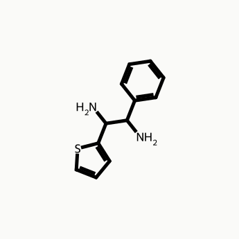 NC(c1ccccc1)C(N)c1cccs1